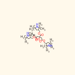 CC1(C)CC(COC(=O)CC(O)(CC(=O)OCC2CC(C)(C)NC2(C)C)C(=O)OCC2CC(C)(C)NC2(C)C)C(C)(C)N1